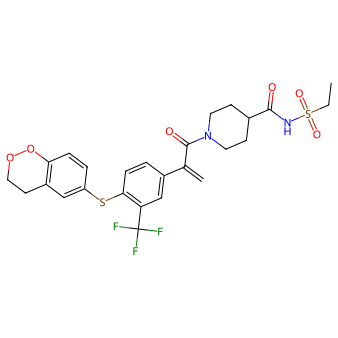 C=C(C(=O)N1CCC(C(=O)NS(=O)(=O)CC)CC1)c1ccc(Sc2ccc3c(c2)CCOO3)c(C(F)(F)F)c1